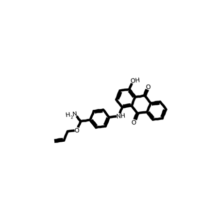 C=CCOC(N)c1ccc(Nc2ccc(O)c3c2C(=O)c2ccccc2C3=O)cc1